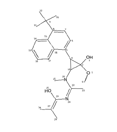 COC1(O)C(c2ccc(C(C)(C)C)c3ccccc23)C1N(C)/C(C)=N\C(O)=C(C)C